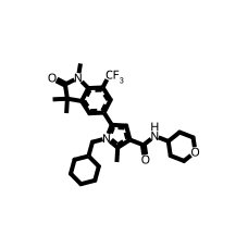 Cc1c(C(=O)NC2CCOCC2)cc(-c2cc(C(F)(F)F)c3c(c2)C(C)(C)C(=O)N3C)n1CC1CCCCC1